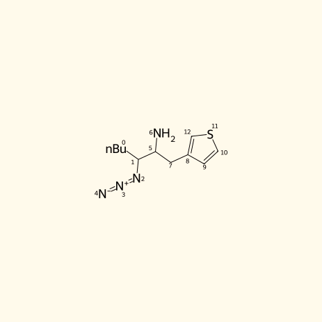 CCCCC(N=[N+]=[N-])C(N)Cc1ccsc1